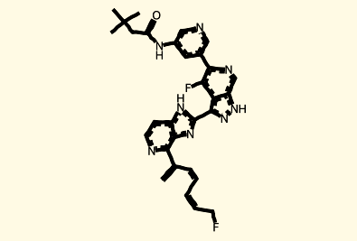 C=C(/C=C\C=C/CF)c1nccc2[nH]c(-c3n[nH]c4cnc(-c5cncc(NC(=O)CC(C)(C)C)c5)c(F)c34)nc12